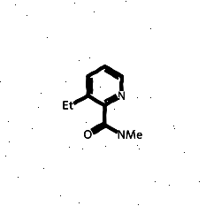 CCc1cccnc1C(=O)NC